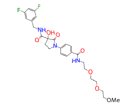 COCCOCCOCCNC(=O)c1ccc(N2CCC(O)(C(=O)NCc3cc(F)cc(F)c3)C2=O)cc1